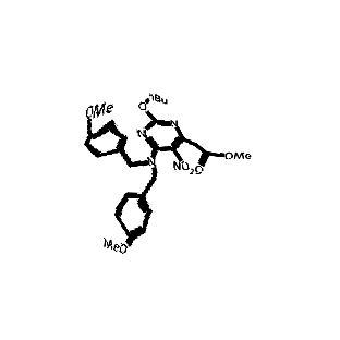 CCCCOc1nc(CC(=O)OC)c([N+](=O)[O-])c(N(Cc2ccc(OC)cc2)Cc2ccc(OC)cc2)n1